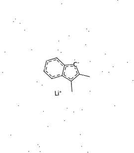 Cc1[cH-]c2ccccc2c1C.[Li+]